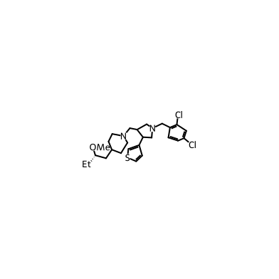 CC[C@@H](CC1CCN(CC2CN(Cc3ccc(Cl)cc3Cl)CC2c2ccsc2)CC1)OC